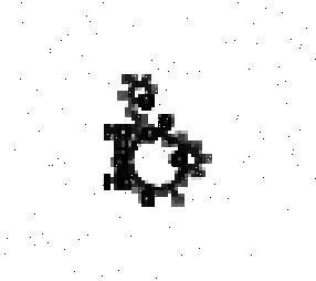 CC1=CCO[C@H](/C=C/[C@H](O)[C@@H]2C[C@@H]3O[C@H]3C(O)CC(=O)C[C@H](C)CC3(C)CC=C[C@@](C)(/C=C/C(=O)O2)O3)C1